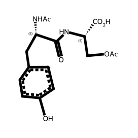 CC(=O)N[C@@H](Cc1ccc(O)cc1)C(=O)N[C@@H](COC(C)=O)C(=O)O